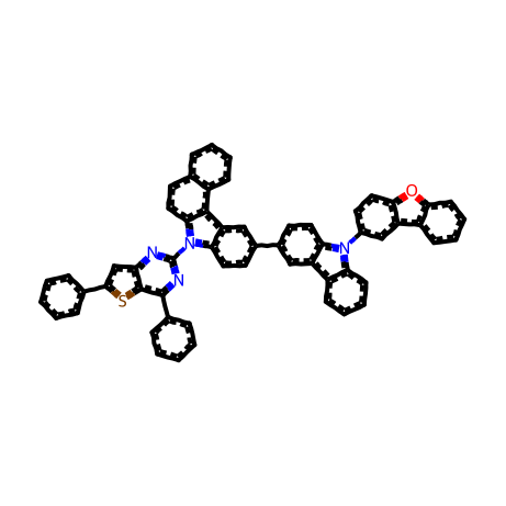 c1ccc(-c2cc3nc(-n4c5ccc(-c6ccc7c(c6)c6ccccc6n7-c6ccc7oc8ccccc8c7c6)cc5c5c6ccccc6ccc54)nc(-c4ccccc4)c3s2)cc1